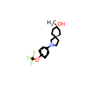 C[C@]1(O)CC[C@]2(CCN(c3ccc(OC(F)(F)F)cc3)C2)CC1